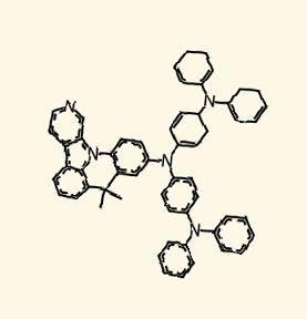 CC1(C)c2cc(N(C3=CCC(N(C4=CCCC=C4)C4=CC=CCC4)C=C3)c3ccc(N(c4ccccc4)c4ccccc4)cc3)ccc2-n2c3cnccc3c3cccc1c32